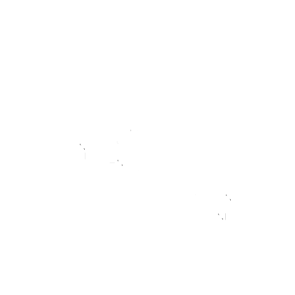 O=C(Nc1ccc(-c2cn[nH]c2)cc1)C(NI)c1ccccc1